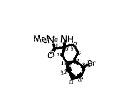 CNC(=O)C1(N)CCc2c(Br)cccc2C1